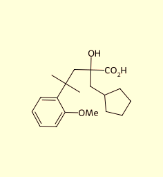 COc1ccccc1C(C)(C)CC(O)(CC1CCCC1)C(=O)O